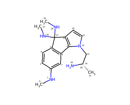 CNc1ccc2c(c1)-c1c(ccn1C[C@H](C)N)C2(NC)NC